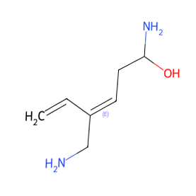 C=C/C(=C\CC(N)O)CN